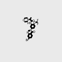 CC(C(=O)Nc1cc(-n2cnc3cc(Br)ccc3c2=O)ccc1OC(F)F)N1CCOCC1